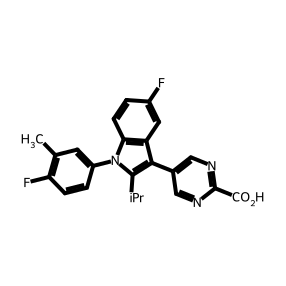 Cc1cc(-n2c(C(C)C)c(-c3cnc(C(=O)O)nc3)c3cc(F)ccc32)ccc1F